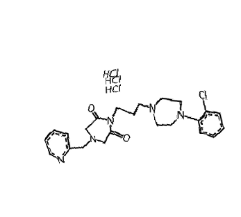 Cl.Cl.Cl.O=C1CN(Cc2ccccn2)CC(=O)N1CCCN1CCN(c2ccccc2Cl)CC1